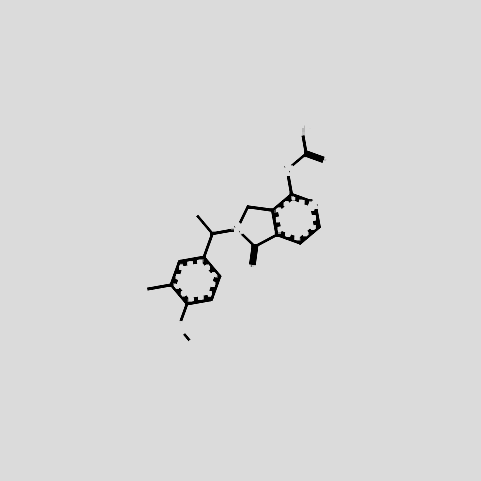 Cc1cc(C(C)N2Cc3c(ccnc3NC(=O)C(C)C)C2=O)ccc1OC(F)(F)F